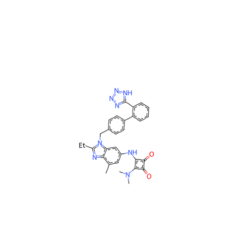 CCc1nc2c(C)cc(Nc3c(N(C)C)c(=O)c3=O)cc2n1Cc1ccc(-c2ccccc2-c2nnn[nH]2)cc1